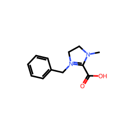 CN1CC[N+](Cc2ccccc2)=C1C(=O)O